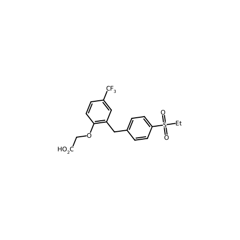 CCS(=O)(=O)c1ccc(Cc2cc(C(F)(F)F)ccc2OCC(=O)O)cc1